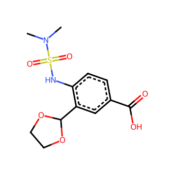 CN(C)S(=O)(=O)Nc1ccc(C(=O)O)cc1C1OCCO1